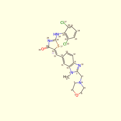 Cn1c(CN2CCOCC2)nc2ccc(/C=C3\SC(Nc4c(Cl)cccc4Cl)=NC3=O)cc21